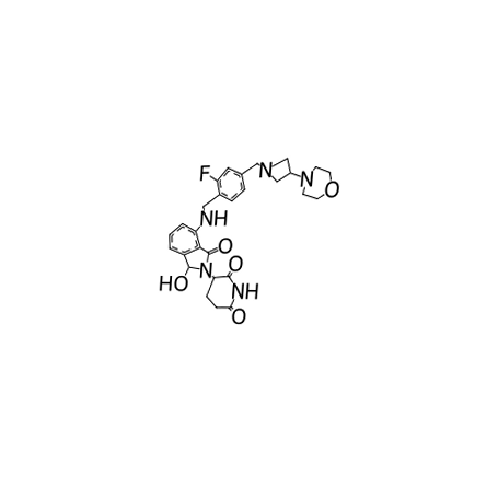 O=C1CC[C@H](N2C(=O)c3c(NCc4ccc(CN5CC(N6CCOCC6)C5)cc4F)cccc3C2O)C(=O)N1